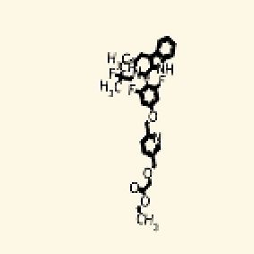 CCOC(=O)COCc1ccc(COc2cc(F)c([C@@H]3c4[nH]c5ccccc5c4C[C@@H](C)N3CC(C)(C)F)c(F)c2)nc1